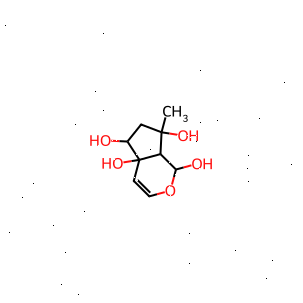 CC1(O)CC(O)C2(O)C=COC(O)C12